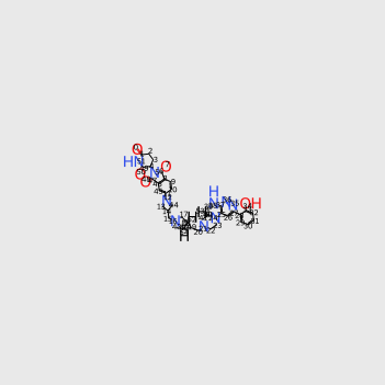 O=C1CCC(N2C(=O)c3ccc(N4CC(CN5C[C@@H]6C(CN7CCN8c9cc(-c%10ccccc%10O)nnc9NC[C@H]8C7)[C@@H]6C5)C4)cc3C2=O)C(=O)N1